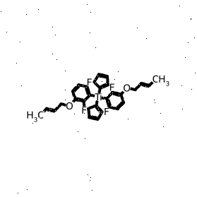 C/C=C/COc1ccc(F)[c]([Ti]([C]2=CC=CC2)([C]2=CC=CC2)[c]2c(F)ccc(OC/C=C/C)c2F)c1F